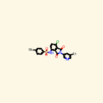 CCc1cncc(N2C(=O)c3c(Cl)ccc(NS(=O)(=O)c4ccc(C(C)(C)C)cc4)c3C2=O)c1